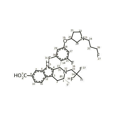 C[C@@H]1Cc2c([nH]c3cc(C(=O)O)ccc23)[C@H](c2c(F)cc(OC3CCN(CCCF)C3)cc2F)N1CC(C)(F)F